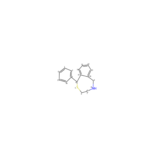 c1ccc(C2SCCNCc3ccccc32)cc1